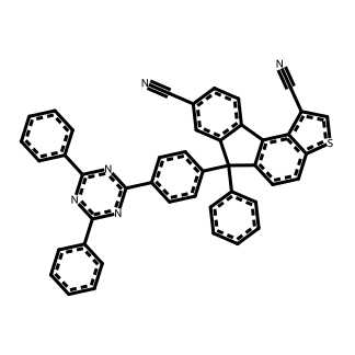 N#Cc1ccc2c(c1)C(c1ccccc1)(c1ccc(-c3nc(-c4ccccc4)nc(-c4ccccc4)n3)cc1)c1ccc3scc(C#N)c3c1-2